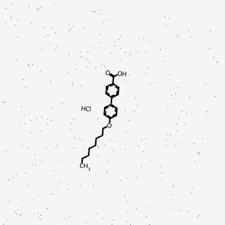 CCCCCCCCOc1ccc(-c2ccc(C(=O)O)cc2)cc1.Cl